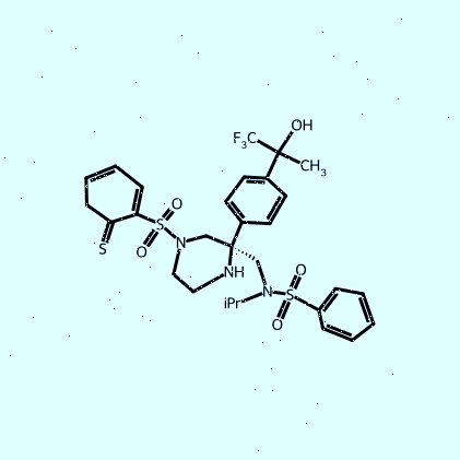 CC(C)N(C[C@@]1(c2ccc(C(C)(O)C(F)(F)F)cc2)CN(S(=O)(=O)C2=CC=CCC2=S)CCN1)S(=O)(=O)c1ccccc1